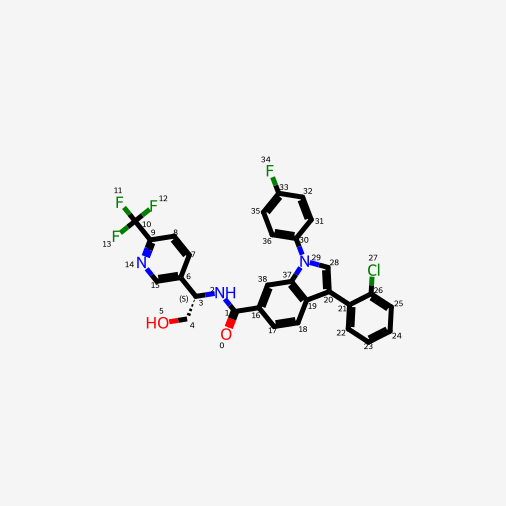 O=C(N[C@H](CO)c1ccc(C(F)(F)F)nc1)c1ccc2c(-c3ccccc3Cl)cn(-c3ccc(F)cc3)c2c1